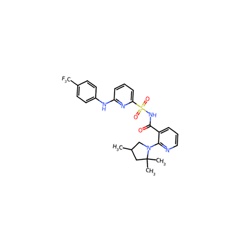 CC1CN(c2ncccc2C(=O)NS(=O)(=O)c2cccc(Nc3ccc(C(F)(F)F)cc3)n2)C(C)(C)C1